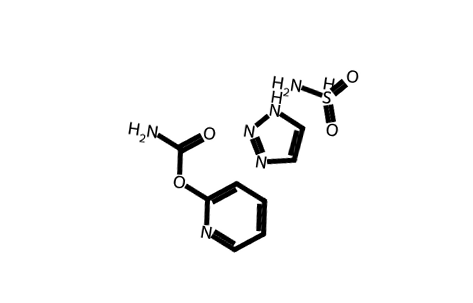 NC(=O)Oc1ccccn1.N[SH](=O)=O.c1c[nH]nn1